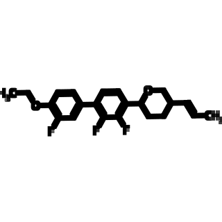 C/C=C/C1CCC(c2ccc(-c3ccc(OCC)c(F)c3)c(F)c2F)OC1